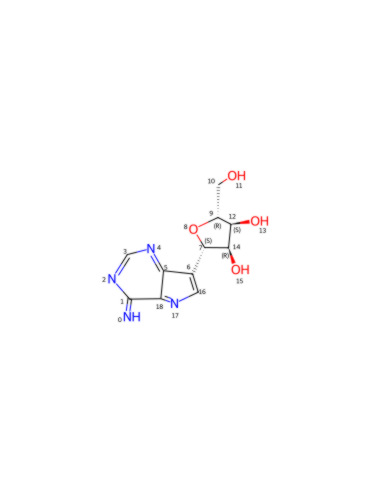 N=C1N=CN=C2C([C@@H]3O[C@H](CO)[C@@H](O)[C@H]3O)=CN=C12